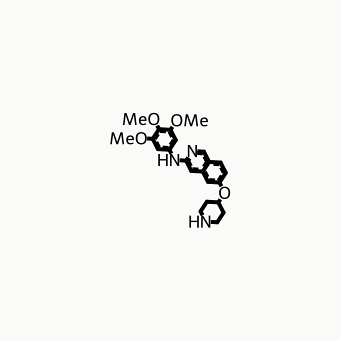 COc1cc(Nc2cc3cc(OC4CCNCC4)ccc3cn2)cc(OC)c1OC